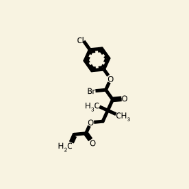 C=CC(=O)OCC(C)(C)C(=O)C(Br)Oc1ccc(Cl)cc1